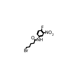 O=C(CCCCBr)Nc1ccc(F)c([N+](=O)[O-])c1